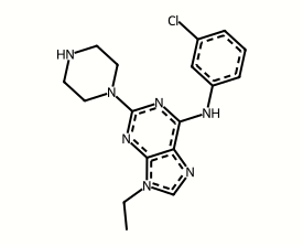 CCn1cnc2c(Nc3cccc(Cl)c3)nc(N3CCNCC3)nc21